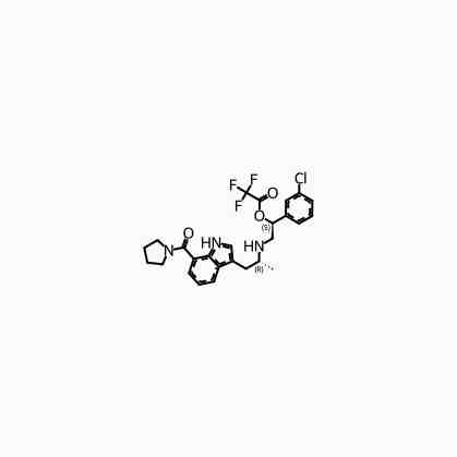 C[C@H](Cc1c[nH]c2c(C(=O)N3CCCC3)cccc12)NC[C@@H](OC(=O)C(F)(F)F)c1cccc(Cl)c1